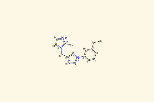 CCc1cccc(-n2cnc(Cn3ccnc3C)c2)c1